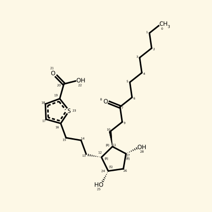 CCCCCCCC(=O)CC[C@@H]1[C@@H](CCCc2ccc(C(=O)O)s2)[C@@H](O)C[C@H]1O